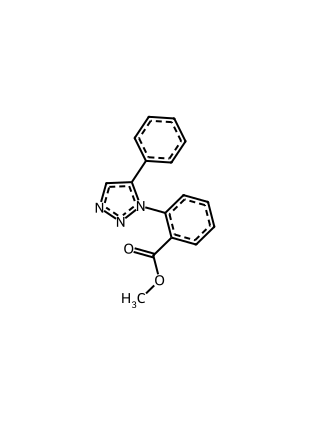 COC(=O)c1ccccc1-n1nncc1-c1ccccc1